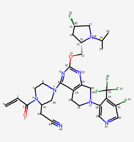 C=CC(=O)N1CCN(c2nc(OC[C@@H]3C[C@@H](F)CN3C(C)C)nc3c2CCN(c2cncc(F)c2C(F)(F)F)C3)CC1CC#N